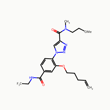 C=CCCCOc1cc(C(=O)NCC(F)(F)F)ccc1-n1cc(C(=O)N(C)CCOC)nn1